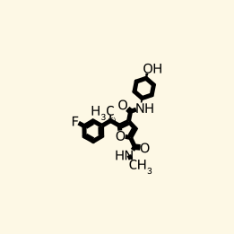 CNC(=O)c1cc(C(=O)N[C@H]2CC[C@H](O)CC2)c([C@@H](C)c2cccc(F)c2)o1